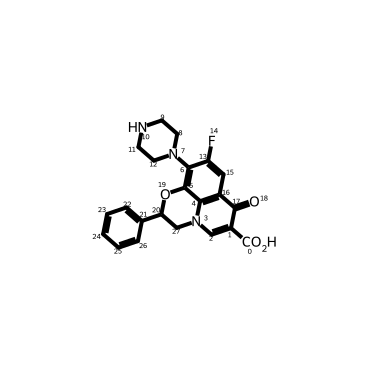 O=C(O)c1cn2c3c(c(N4CCNCC4)c(F)cc3c1=O)OC(c1ccccc1)C2